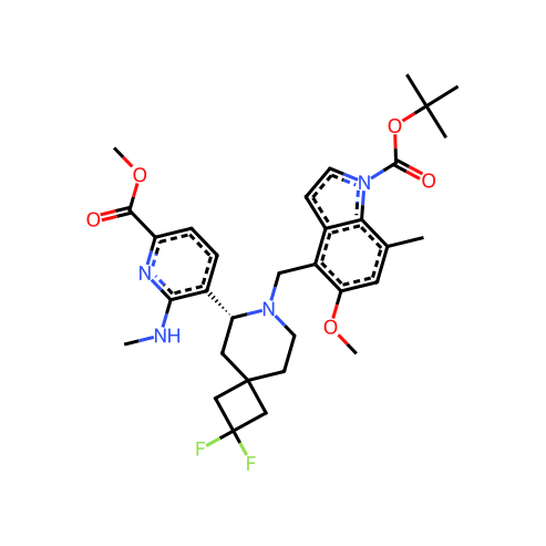 CNc1nc(C(=O)OC)ccc1[C@H]1CC2(CCN1Cc1c(OC)cc(C)c3c1ccn3C(=O)OC(C)(C)C)CC(F)(F)C2